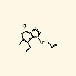 C=CCOc1csc2c(Cl)nc(C)c(C=C)c12